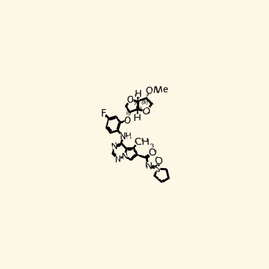 CO[C@@H]1CO[C@H]2[C@@H]1OC[C@H]2Oc1cc(F)ccc1Nc1ncnn2cc(C(=O)N=S3(=O)CCCC3)c(C)c12